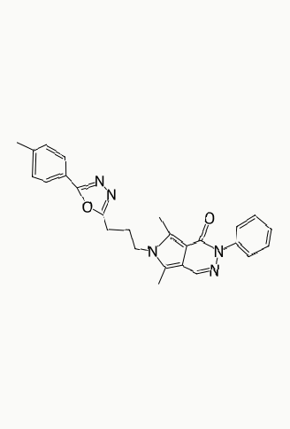 Cc1ccc(-c2nnc(CCCn3c(C)c4cnn(-c5ccccc5)c(=O)c4c3C)o2)cc1